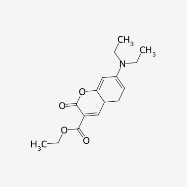 CCOC(=O)C1=CC2CC=C(N(CC)CC)C=C2OC1=O